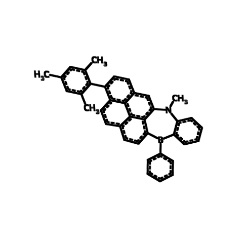 Cc1cc(C)c(-c2ccc3cc4c5c(ccc6ccc2c3c65)B(c2ccccc2)c2ccccc2N4C)c(C)c1